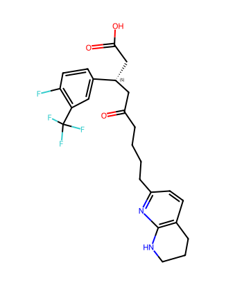 O=C(O)C[C@H](CC(=O)CCCCc1ccc2c(n1)NCCC2)c1ccc(F)c(C(F)(F)F)c1